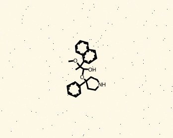 COC(C)(c1cccc2ccccc12)C(O)OC1(c2ccccc2)CCNCC1